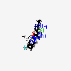 Cn1c(N2CCC3(CCC(F)C3)CC2)nc2[nH]nc(-c3ccnc(NC4CC4)c3Cl)c2c1=O